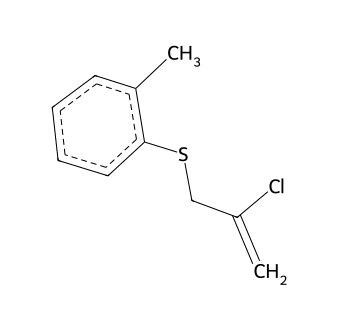 C=C(Cl)CSc1ccccc1C